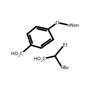 CCCCC(CC)C(=O)O.CCCCCCCCCOc1ccc(C(=O)O)cc1